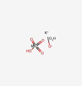 O=S(=O)([O-])O.[K+].[O]=[Mn](=[O])(=[O])[OH]